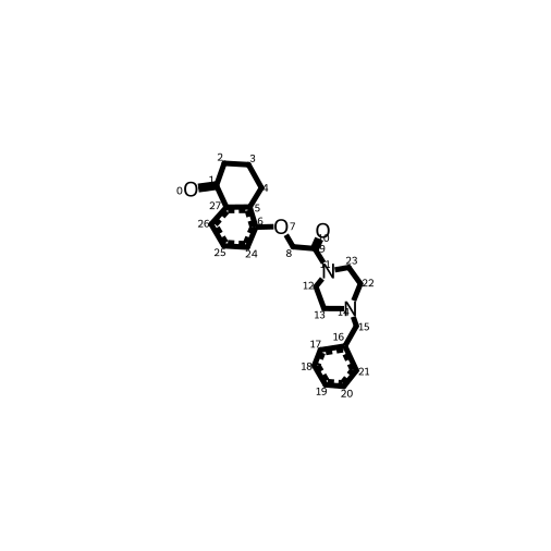 O=C1CCCc2c(OCC(=O)N3CCN(Cc4ccccc4)CC3)cccc21